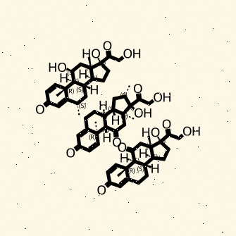 C[C@H]1C[C@@H]2[C@H]([C@@H](O)C[C@@]3(C)[C@H]2CC[C@]3(O)C(=O)CO)[C@@]2(C)C=CC(=O)C=C12.C[C@H]1C[C@H]2[C@@H]3CCC4=CC(=O)C=C[C@]4(C)[C@H]3C(=O)C[C@]2(C)[C@@]1(O)C(=O)CO.C[C@]12C=CC(=O)C=C1CC[C@@H]1[C@@H]2C(=O)C[C@@]2(C)[C@H]1CC[C@]2(O)C(=O)CO